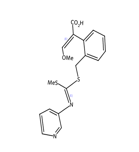 CO/C=C(/C(=O)O)c1ccccc1CS/C(=N/c1cccnc1)SC